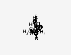 Cc1cc(C#N)cc(C(=O)NC(C)C)c1NC(=O)c1cc(Nc2ccc(C(F)(F)F)cc2)nn1-c1ncccc1Cl